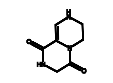 O=C1NCC(=O)N2CCNC=C12